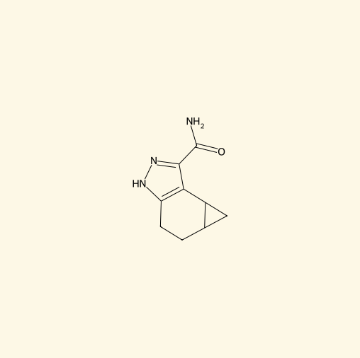 NC(=O)c1n[nH]c2c1C1CC1CC2